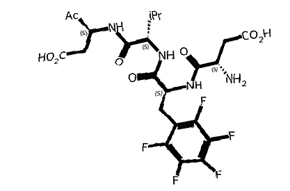 CC(=O)[C@H](CC(=O)O)NC(=O)[C@@H](NC(=O)[C@H](Cc1c(F)c(F)c(F)c(F)c1F)NC(=O)[C@@H](N)CC(=O)O)C(C)C